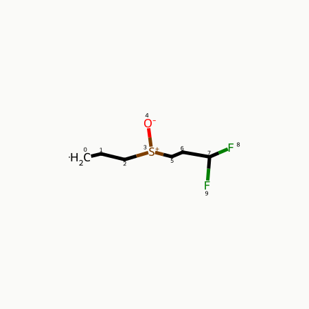 [CH2]CC[S+]([O-])CCC(F)F